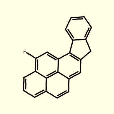 Fc1cc2c3c(cc4ccc5cccc1c5c42)Cc1ccccc1-3